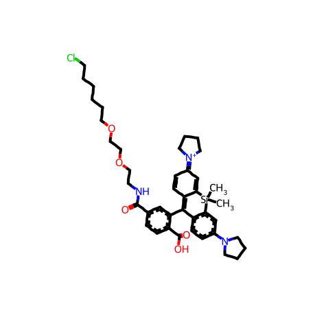 C[Si]1(C)C2=CC(=[N+]3CCCC3)C=CC2=C(c2cc(C(=O)NCCOCCOCCCCCCCl)ccc2C(=O)O)c2ccc(N3CCCC3)cc21